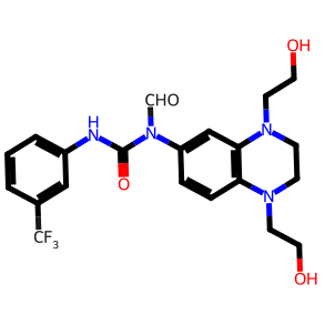 O=CN(C(=O)Nc1cccc(C(F)(F)F)c1)c1ccc2c(c1)N(CCO)CCN2CCO